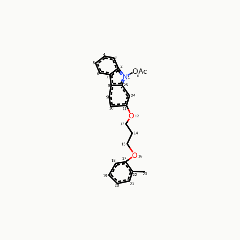 CC(=O)On1c2ccccc2c2ccc(OCCCOc3ccccc3C)cc21